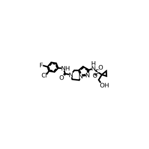 O=C(Nc1ccc(F)c(Cl)c1)N1CCn2nc(NS(=O)(=O)C3(CO)CC3)cc2C1